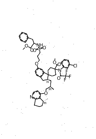 COC(=O)C(Cc1ccccc1)NS(=O)(=O)CCCOc1ccc2c(c1)C1(CCC(C(=O)OC)(N(C(=O)C(F)(F)F)c3cccc(Cl)c3)CC1)[C@@H](C[C@@H](C)COc1ccnc3c1[C@H](C)CCC3)C2